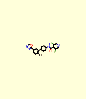 Cc1ccc(-c2nnco2)cc1-c1ccc(NC(=O)c2c(F)cncc2F)cc1